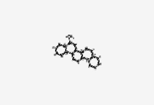 Cc1cc2c(ccc3c4ccccc4ccc32)c2ccccc12